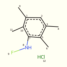 Cc1cc(C)c(C)c(NF)c1C.Cl